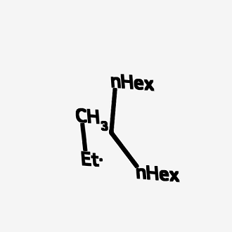 C[CH]C.[CH2]CCCCCCCCCCCC